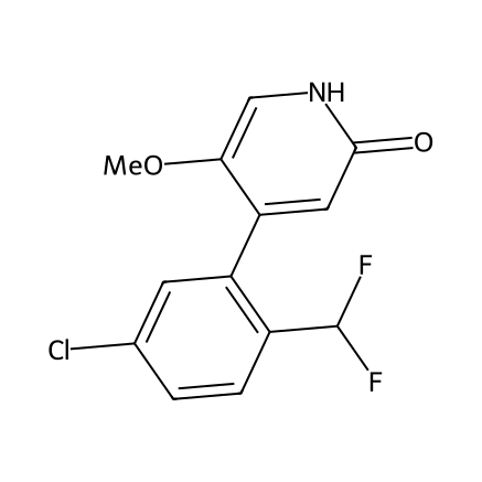 COc1c[nH]c(=O)cc1-c1cc(Cl)ccc1C(F)F